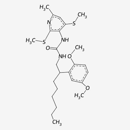 CCCCCCC(CNC(=O)Nc1c(SC)cc(C)nc1SC)c1cc(OC)ccc1OC